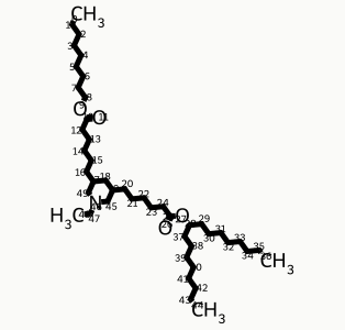 CCCCCCCCCOC(=O)CCCCCC1CC(CCCCCC(=O)OC(CCCCCCCC)CCCCCCCC)CN(CC)C1